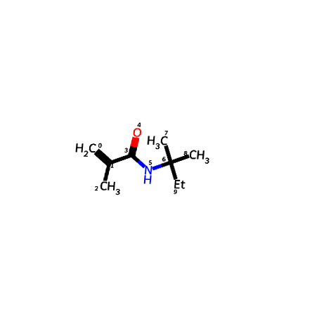 C=C(C)C(=O)NC(C)(C)CC